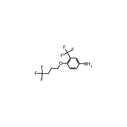 Bc1ccc(OCCCC(F)(F)F)c(C(F)(F)F)c1